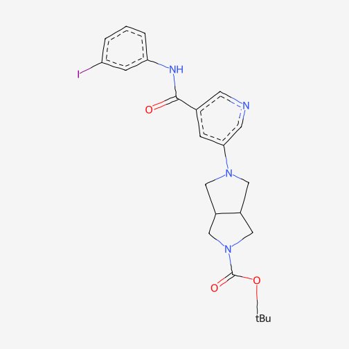 CC(C)(C)OC(=O)N1CC2CN(c3cncc(C(=O)Nc4cccc(I)c4)c3)CC2C1